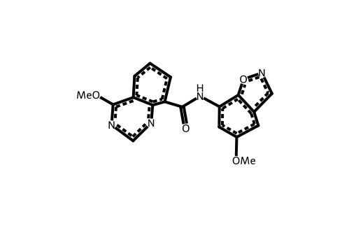 COc1cc(NC(=O)c2cccc3c(OC)ncnc23)c2oncc2c1